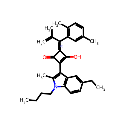 C=C(C)/C(=C1\C(=O)C(c2c(C)n(CCCC)c3ccc(CC)cc23)=C1O)c1cc(C)ccc1C